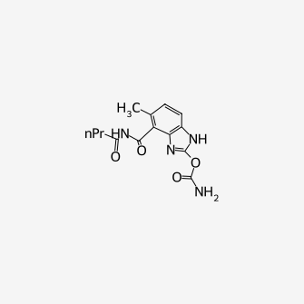 CCCC(=O)NC(=O)c1c(C)ccc2[nH]c(OC(N)=O)nc12